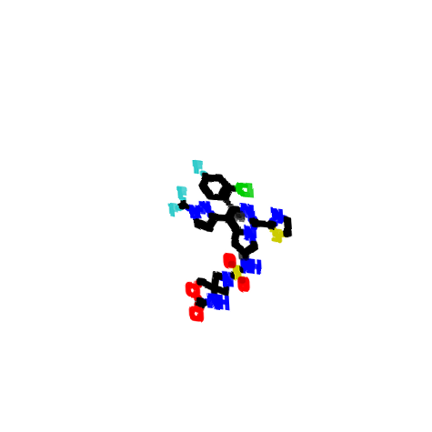 O=C1NC2(CO1)CN(S(=O)(=O)N[C@H]1CC3=C(c4ccn(C(F)F)n4)[C@H](c4ccc(F)cc4Cl)N=C(c4nccs4)N3C1)C2